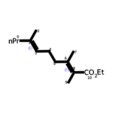 CCC/C(C)=C/CC/C(C)=C(\C)C(=O)OCC